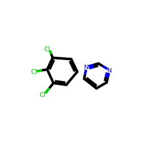 Clc1cccc(Cl)c1Cl.c1cncnc1